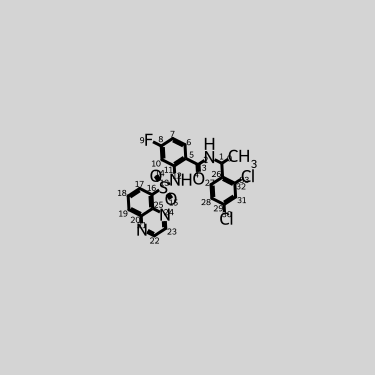 CC(NC(=O)c1ccc(F)cc1NS(=O)(=O)c1cccc2nccnc12)c1ccc(Cl)cc1Cl